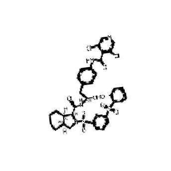 O=C[C@H](Cc1ccc(NC(=O)c2c(Cl)cncc2Cl)cc1)NC(=O)[C@@H]1[C@@H]2CCCC[C@@H]2CN1S(=O)(=O)c1cccc(S(=O)(=O)c2ccccc2)c1